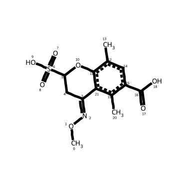 CON=C1CC(S(=O)(=O)O)Oc2c(C)cc(C(=O)O)c(C)c21